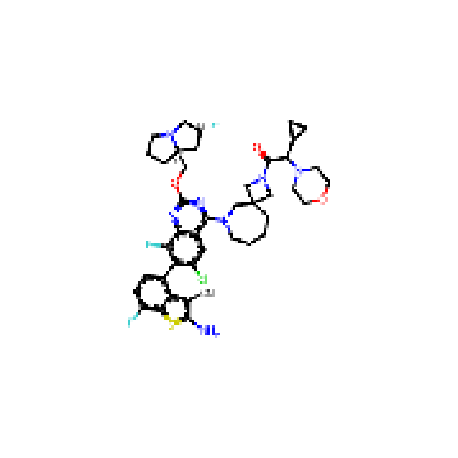 N#Cc1c(N)sc2c(F)ccc(-c3c(Cl)cc4c(N5CCCCC6(CN(C(=O)C(C7CC7)N7CCOCC7)C6)C5)nc(OC[C@@]56CCCN5C[C@H](F)C6)nc4c3F)c12